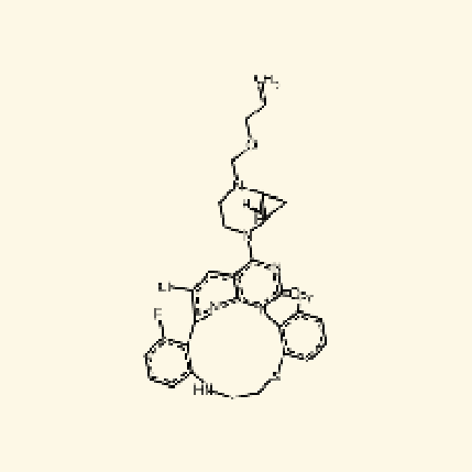 C=CCOCN1CCN(c2nc(=O)n3c4nc(c(Cl)cc24)-c2c(F)cccc2NCCSc2cccc(C(C)C)c2-3)[C@H]2C[C@H]21